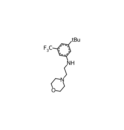 CC(C)(C)c1cc(NCCN2CCOCC2)cc(C(F)(F)F)c1